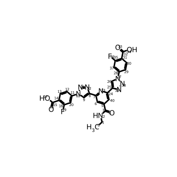 CCNC(=O)c1cc(-c2cn(-c3ccc(C(=O)O)c(F)c3)nn2)nc(-c2cn(-c3ccc(C(=O)O)c(F)c3)nn2)c1